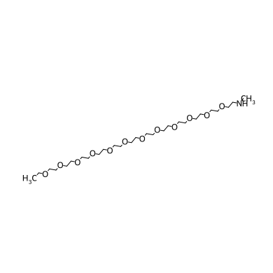 CCOCCOCCOCCOCCOCCOCCOCCOCCOCCOCCOCCOCCNC